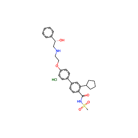 CS(=O)(=O)NC(=O)c1ccc(-c2ccc(OCCNC[C@@H](O)c3ccccc3)cc2)cc1C1CCCC1.Cl